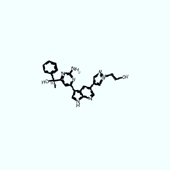 C[C@@](O)(c1ccccc1)c1cc(-c2c[nH]c3ncc(-c4cnn(CCO)c4)cc23)nc(N)n1